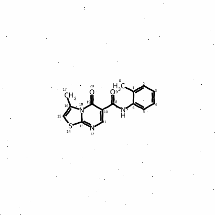 Cc1ccccc1NC(=O)c1cnc2scc(C)n2c1=O